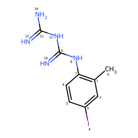 Cc1cc(I)ccc1NC(=N)NC(=N)N